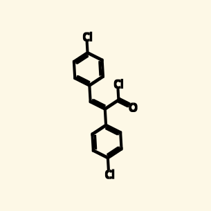 O=C(Cl)/C(=C\c1ccc(Cl)cc1)c1ccc(Cl)cc1